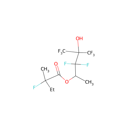 CCC(C)(F)C(=O)OC(C)C(F)(F)C(O)(C(F)(F)F)C(F)(F)F